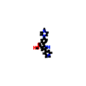 CN1CCN(c2ccc(-c3[nH]c(-c4ccncc4)cc3C(=O)O)cc2)CC1